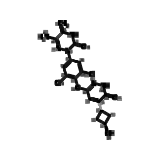 C=C1NC(=O)N(c2cc(Cl)c(Oc3cc([C@H]4C[C@H](O)C4)c(=O)[nH]n3)c(Cl)c2)N=C1N